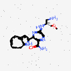 COC[C@@H](CN)Nc1cnc(C(N)=O)c(-c2cc3ccccc3[nH]2)n1